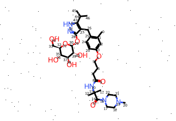 Cc1cc(OCCCC(=O)NC(C)(C)C(=O)N2CCN(C)CC2)ccc1Cc1c(O[C@@H]2O[C@H](CO)[C@@H](O)[C@H](O)[C@H]2O)n[nH]c1C(C)C